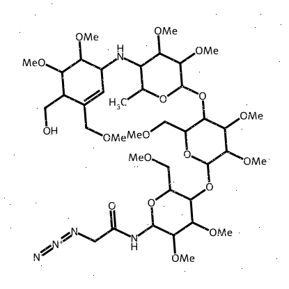 COCC1=CC(NC2C(C)OC(OC3C(COC)OC(OC4C(COC)OC(NC(=O)CN=[N+]=[N-])C(OC)C4OC)C(OC)C3OC)C(OC)C2OC)C(OC)C(OC)C1CO